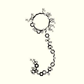 CO[C@H]1CC2CCCC(O2)C(=O)C(=O)N2CCCC[C@H]2C(=O)O[C@H](CC[C@H]2CC[C@H](OC(=O)NCc3cnc(N4CCN(CCOCCN5CCN(c6ncc(C(=O)N7CCc8cc(Cn9nc(-c%10ccc%11oc(N)nc%11c%10)c%10c(N)ncnc%109)ccc8C7)cn6)CC5)CC4)nc3)CC2)C[C@@H](OC)[C@H](C)/C=C(\C)[C@@H](O)CC(=O)[C@H](C)C[C@H](C)/C=C/C=C/C=C/1C